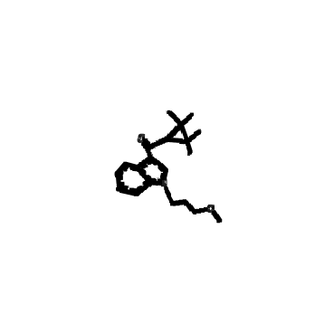 COCCCn1cc(C(=O)C2C(C)(C)C2(C)C)c2ccccc21